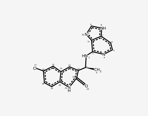 C[C@H](Nc1nccc2[nH]cnc12)c1cc2cc(Cl)ccc2[nH]c1=O